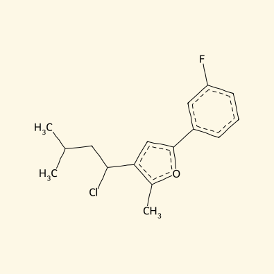 Cc1oc(-c2cccc(F)c2)cc1C(Cl)CC(C)C